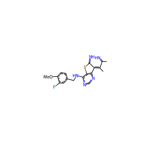 COc1ccc(CNc2ncnc3c2SC(=N)/C3=C(/C)C(C)=N)cc1F